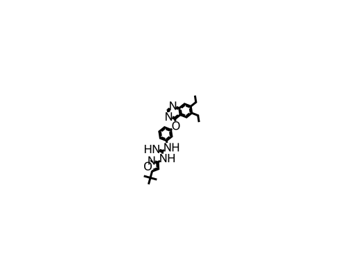 CCc1cc2ncnc(Oc3cccc(NC(=N)Nc4cc(C(C)(C)C)on4)c3)c2cc1CC